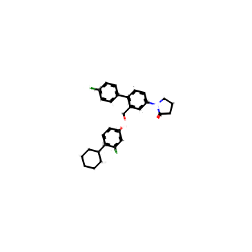 O=C1CCCN1c1ccc(-c2ccc(Cl)cc2)c(COc2ccc(C3[CH]CCCC3)c(F)c2)c1